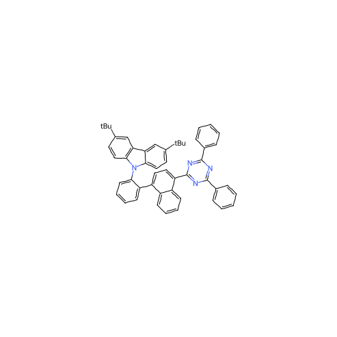 CC(C)(C)c1ccc2c(c1)c1cc(C(C)(C)C)ccc1n2-c1ccccc1-c1ccc(-c2nc(-c3ccccc3)nc(-c3ccccc3)n2)c2ccccc12